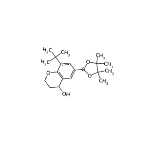 CC(C)(C)c1cc(B2OC(C)(C)C(C)(C)O2)cc2c1OCCC2O